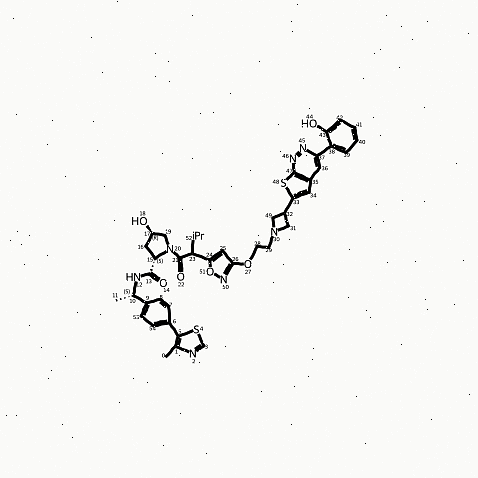 Cc1ncsc1-c1ccc([C@H](C)NC(=O)[C@@H]2C[C@@H](O)CN2C(=O)C(c2cc(OCCN3CC(c4cc5cc(-c6ccccc6O)nnc5s4)C3)no2)C(C)C)cc1